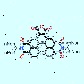 CCCCCCCCCC(CCCCCCCCC)n1c(=O)c2ccc3c4ccc5c(=O)n(C(CCCCCCCCC)CCCCCCCCC)c(=O)c6cc7c8c(=O)oc(=O)c8c8cc(c1=O)c2c3c8c7c4c56